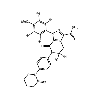 [2H]c1c([2H])c(-n2nc(C(N)=O)c3c2C(=O)N(c2ccc(N4CCCCC4=O)cc2)C([2H])([2H])C3)c([2H])c([2H])c1OC